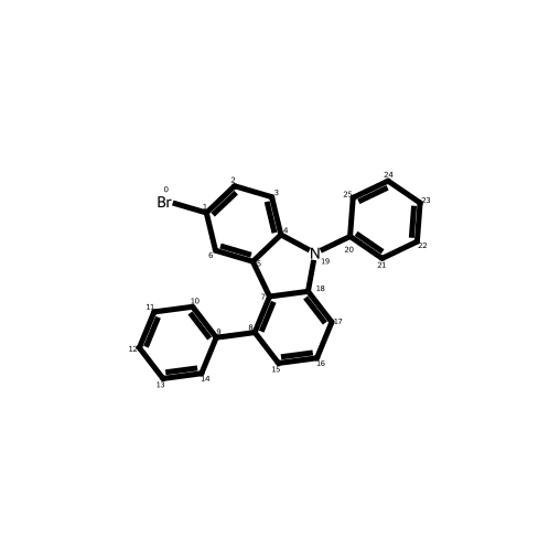 Brc1ccc2c(c1)c1c(-c3ccccc3)cccc1n2-c1ccccc1